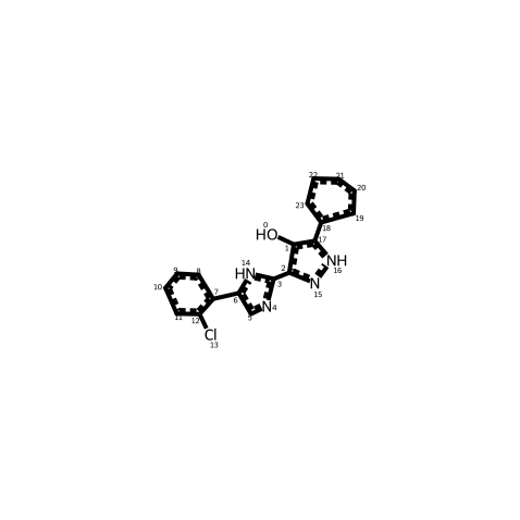 Oc1c(-c2ncc(-c3ccccc3Cl)[nH]2)n[nH]c1-c1ccccc1